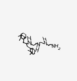 CC1(C)C2CCC(CC2)C1CC(CC1C2CCC(CC2)C1(C)C)NCCNCCNCCN